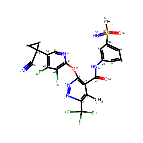 Cc1c(C(F)(F)F)nnc(Oc2ncc(C3(C#N)CC3)c(F)c2F)c1C(=O)Nc1cccc(S(C)(=N)=O)c1